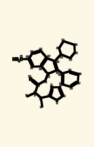 CC(c1nccs1)N(C)C(=O)Cn1c(-c2ccccc2)c(C2CCCCC2)c2ccc(C(=O)O)cc21